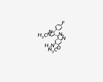 COc1cc2ncnc(-c3cn(C)nc3-c3ccc(F)cc3)c2cc1N